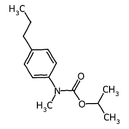 CCCc1ccc(N(C)C(=O)OC(C)C)cc1